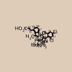 CC(C)(C)N.Cc1cn(C(=O)c2c(-c3c(Cl)cc(Cl)cc3Cl)noc2C(C)(C)F)c2cccc(/C=C/C(=O)O)c12